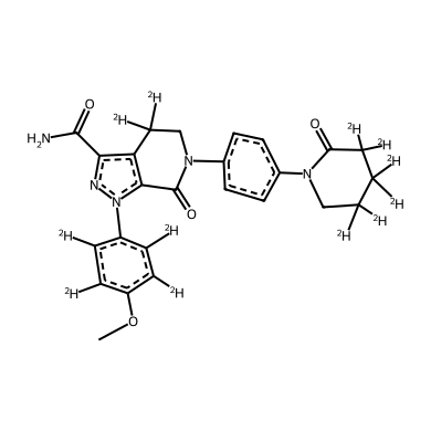 [2H]c1c([2H])c(-n2nc(C(N)=O)c3c2C(=O)N(c2ccc(N4CC([2H])([2H])C([2H])([2H])C([2H])([2H])C4=O)cc2)CC3([2H])[2H])c([2H])c([2H])c1OC